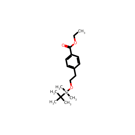 CCOC(=O)c1ccc(CCO[Si](C)(C)C(C)(C)C)cc1